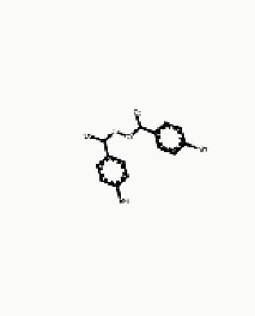 CCCc1ccc(C(CC)OOC(CC)c2ccc(CCC)cc2)cc1